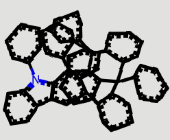 c1ccc(-n2c3ccccc3c3cc(-c4ccccc4C4(c5ccccc5)c5ccccc5C5(c6ccccc6)c6ccccc6-c6cccc4c65)c4ccccc4c32)cc1